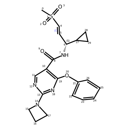 CS(=O)(=O)/C=C/[C@@H](NC(=O)c1cnc(N2CCC2)nc1Oc1ccccc1)C1CC1